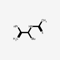 C=C(CCC)C(NC(C)=S)C(C)CC